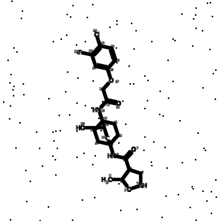 CC1ONCC1C(=O)NC12CCC(NC(=O)COc3ccc(Cl)c(F)c3)(CC1)C(O)C2